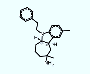 Cc1ccc2c(c1)[C@H]1CC(C)(N)CCC[C@@H]1N2CCc1ccccc1